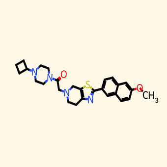 COc1ccc2cc(-c3nc4c(s3)CN(CC(=O)N3CCN(C5CCC5)CC3)CC4)ccc2c1